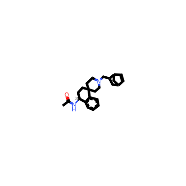 CC(=O)N[C@H]1CCC2(CCN(CC3CC4C=CC3C4)CC2)c2ccccc21